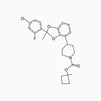 CC1(OC(=O)N2CCC(c3cccc4c3OC(C)(c3ccc(Cl)cc3F)O4)CC2)CCC1